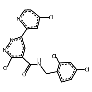 O=C(NCc1ccc(Cl)cc1Cl)c1cc(-c2cc(Cl)ccn2)nnc1Cl